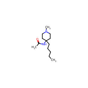 CCCCCC1(NC(C)=O)CCN(C)CC1